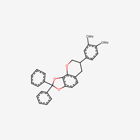 COc1ccc(C2COc3c(ccc4c3OC(c3ccccc3)(c3ccccc3)O4)C2)cc1OC